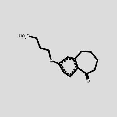 O=C(O)CCCOc1ccc2c(c1)CCCCC2=O